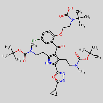 CN(CCc1[nH]c(-c2nnc(C3CC3)o2)c(CCN(C)C(=O)OC(C)(C)C)c1C(=O)c1cc(Br)ccc1OCCN(C(=O)O)C(C)(C)C)C(=O)OC(C)(C)C